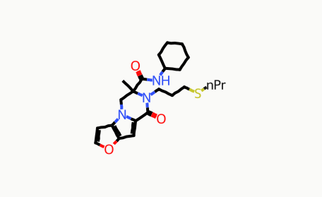 CCCSCCCN1C(=O)c2cc3occc3n2CC1(C)C(=O)NC1CCCCC1